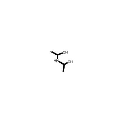 [CH2]C(O)NC(C)O